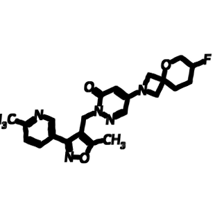 Cc1ccc(-c2noc(C)c2Cn2ncc(N3CC4(CCC(F)CO4)C3)cc2=O)cn1